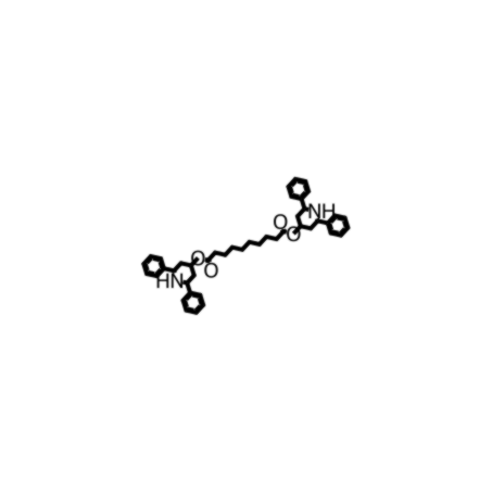 O=C(CCCCCCCCC(=O)OC1CC(c2ccccc2)NC(c2ccccc2)C1)OC1CC(c2ccccc2)NC(c2ccccc2)C1